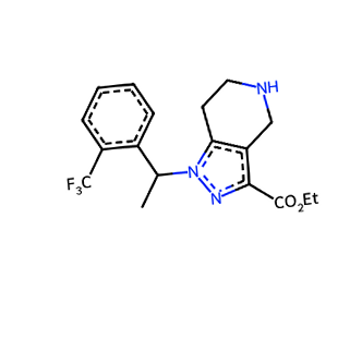 CCOC(=O)c1nn(C(C)c2ccccc2C(F)(F)F)c2c1CNCC2